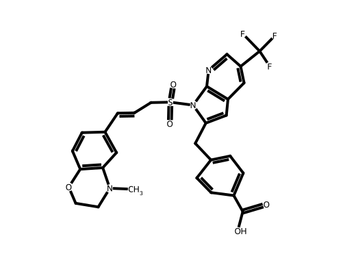 CN1CCOc2ccc(C=CCS(=O)(=O)n3c(Cc4ccc(C(=O)O)cc4)cc4cc(C(F)(F)F)cnc43)cc21